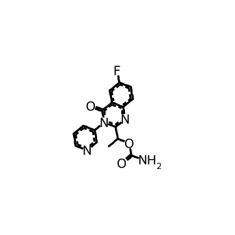 CC(OC(N)=O)c1nc2ccc(F)cc2c(=O)n1-c1cccnc1